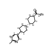 Cc1ncc(C2CCN([C@H]3CC[C@H](C(=O)C(C)C)CC3)CC2)cn1